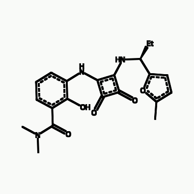 CC[C@H](Nc1c(Nc2cccc(C(=O)N(C)C)c2O)c(=O)c1=O)c1ccc(C)o1